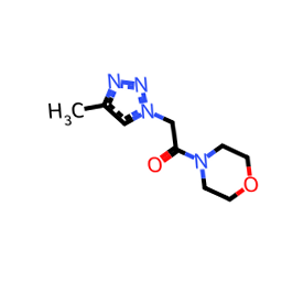 Cc1cn(CC(=O)N2CCOCC2)nn1